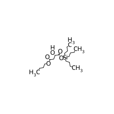 CCCCOC(=O)CC(O)C(=O)O[Si](CCCC)(CCCC)CCCC